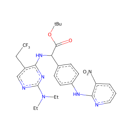 CCN(CC)c1ncc(CC(F)(F)F)c(NC(C(=O)OC(C)(C)C)c2ccc(Nc3ncccc3[N+](=O)[O-])cc2)n1